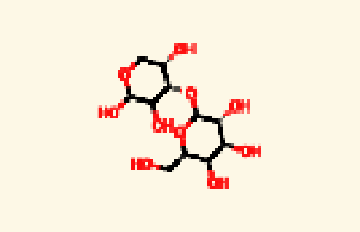 OC[C@H]1O[C@@H](O[C@H]2[C@@H](O)COC(O)[C@@H]2O)[C@H](O)[C@@H](O)[C@H]1O